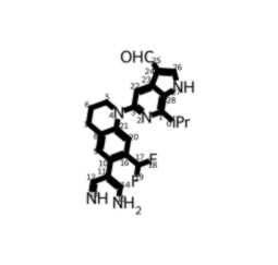 CC(C)c1nc(N2CCCc3cc(/C(C=N)=C/N)c(C(F)F)cc32)cc2c(C=O)c[nH]c12